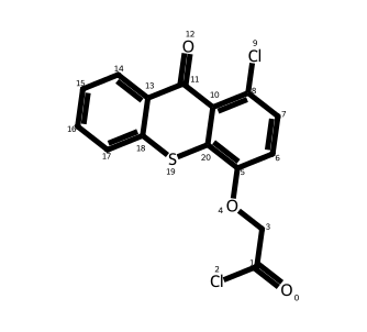 O=C(Cl)COc1ccc(Cl)c2c(=O)c3ccccc3sc12